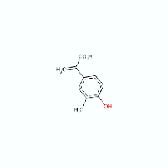 C=C(C(=O)O)c1ccc(O)c(C)c1